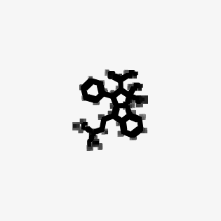 CC(C)C(=O)C1C(c2ccccc2)c2c(CCN(C)C)c3ccccc3n2C1(O)C(C)C